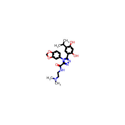 CC(C)c1cc(-c2nnc(C(=O)NCCN(C)C)n2-c2ccc3c(c2)OCO3)c(O)cc1O